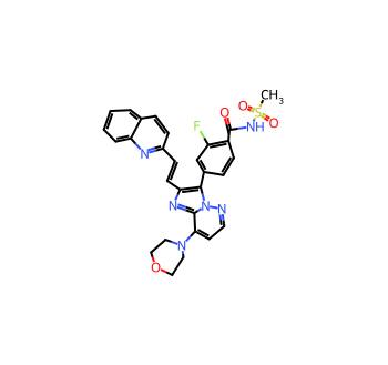 CS(=O)(=O)NC(=O)c1ccc(-c2c(C=Cc3ccc4ccccc4n3)nc3c(N4CCOCC4)ccnn23)cc1F